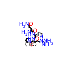 CC(C)[C@H](NC(=O)[C@@H](N)CCC(N)=O)C(=O)N[C@@H](CCCNC(=N)N)C(=O)N1CCC[C@H]1[C]=O